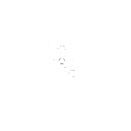 COc1c(O[C@@H]2O[C@@H](C)[C@H](O)[C@@H](OC)[C@H]2O)c(I)c(C)c(C(=O)S[C@H]2[C@@H](O)C[C@H](OC)O[C@@H]2C)c1OC